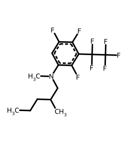 CCCC(C)CN(C)c1cc(F)c(F)c(C(F)(F)C(F)(F)F)c1F